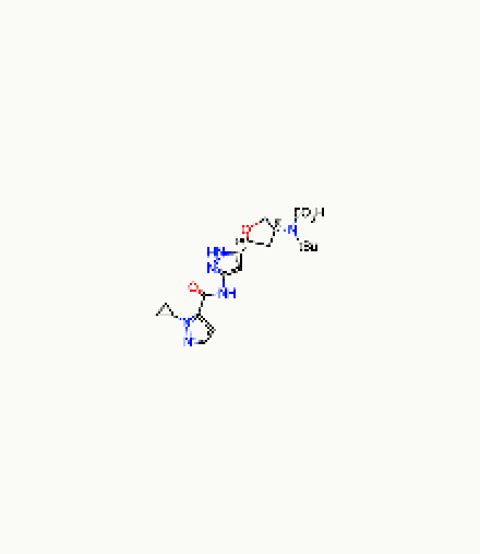 CC(C)(C)N(C(=O)O)[C@H]1CO[C@@H](c2cc(NC(=O)c3ccnn3C3CC3)n[nH]2)C1